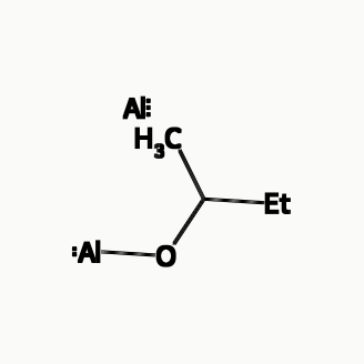 CCC(C)[O][Al].[Al]